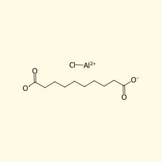 O=C([O-])CCCCCCCCC(=O)[O-].[Al+2][Cl]